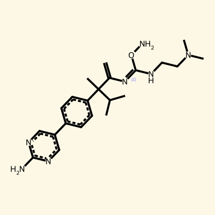 C=C(/N=C(/NCCN(C)C)ON)C(C)(c1ccc(-c2cnc(N)nc2)cc1)C(C)C